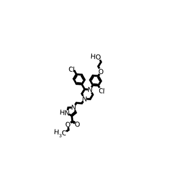 CCOC(=O)C1=CN(CCN2CCN(c3ccc(OCCO)cc3Cl)C(c3ccc(Cl)cc3)C2)CN1